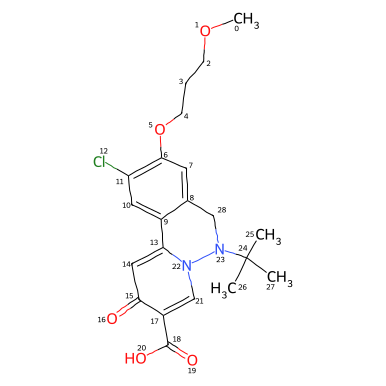 COCCCOc1cc2c(cc1Cl)-c1cc(=O)c(C(=O)O)cn1N(C(C)(C)C)C2